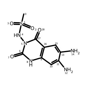 CS(=O)(=O)Nn1c(=O)[nH]c2cc(N)c(N)cc2c1=O